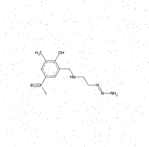 B#P(I)c1cc(C)c(O)c(CNCCN=NN)c1